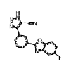 N#Cc1[nH]nnc1-c1cccc(-c2nc3cc(F)ccc3o2)c1